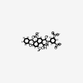 COc1cc2c(c3c([N+](=O)[O-])cc(C(=O)Nc4cc([N+](=O)[O-])cc([N+](=O)[O-])c4)c(C(=O)O)c13)Cc1ccccc1O2